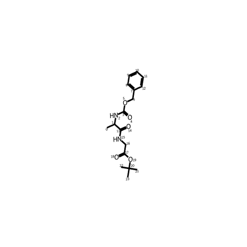 CC(NC(=O)OCc1ccccc1)C(=O)NCC(=O)OC(C)(C)C